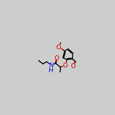 CCCNC(=O)C(C)Oc1cc(OC)ccc1C=O